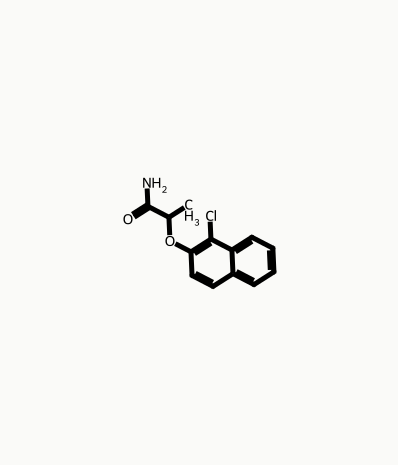 CC(Oc1ccc2ccccc2c1Cl)C(N)=O